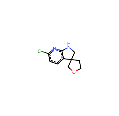 Clc1ccc2c(n1)NCC21CCOC1